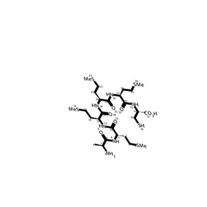 CSCC[C@H](NC(=O)[C@H](C)N)C(=O)N[C@@H](CCSC)C(=O)N[C@@H](CCSC)C(=O)N[C@@H](CCSC)C(=O)N[C@@H](CS)C(=O)O